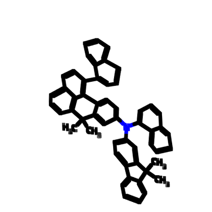 CC1(C)c2ccccc2-c2ccc(N(c3ccc4c(c3)C(C)(C)c3cccc5ccc(-c6cccc7ccccc67)c-4c35)c3cccc4ccccc34)cc21